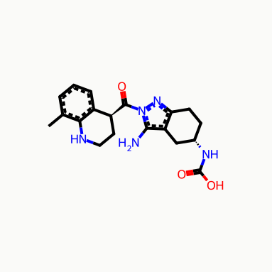 Cc1cccc2c1NCC[C@@H]2C(=O)n1nc2c(c1N)C[C@@H](NC(=O)O)CC2